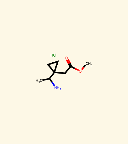 COC(=O)CC1(C(C)N)CC1.Cl